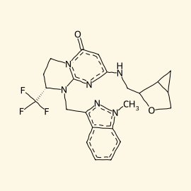 Cn1nc(CN2c3nc(NCC4OCC5CC54)cc(=O)n3CC[C@H]2C(F)(F)F)c2ccccc21